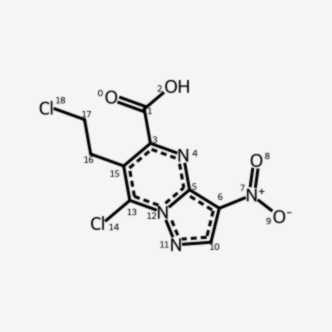 O=C(O)c1nc2c([N+](=O)[O-])cnn2c(Cl)c1CCCl